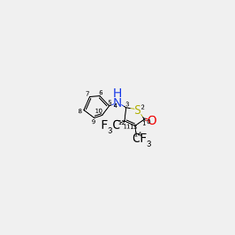 O=C1SC(Nc2ccccc2)C(C(F)(F)F)=C1C(F)(F)F